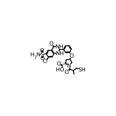 CC(CS)C(=O)N1CC(Oc2cccc(C3NC(=O)c4cc(S(N)(=O)=O)c(Cl)cc4N3)c2)C[C@H]1C(=O)O